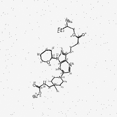 CCCCC(CC)COC(=O)CCSc1nn(C2CCCCO2)c2nc(N3CCC(C)(CNC(=O)OC(C)(C)C)CC3)cnc12